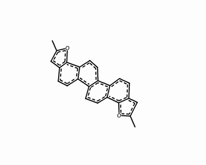 Cc1cc2ccc3c4ccc5c(ccc6cc(C)oc65)c4ccc3c2o1